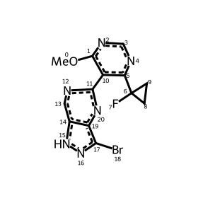 COc1ncnc(C2(F)CC2)c1-c1ncc2[nH]nc(Br)c2n1